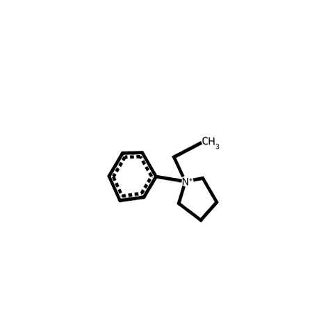 CC[N+]1(c2ccccc2)CCCC1